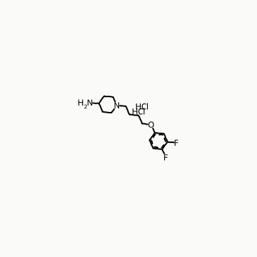 Cl.Cl.NC1CCN(CCCCOc2ccc(F)c(F)c2)CC1